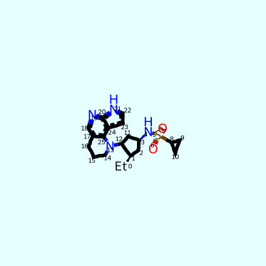 CC[C@@H]1C[C@H](NS(=O)(=O)C2CC2)CC1N1CCCc2cnc3[nH]ccc3c21